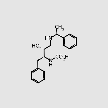 C[C@H](NC[C@@H](O)[C@H](Cc1ccccc1)NC(=O)O)c1ccccc1